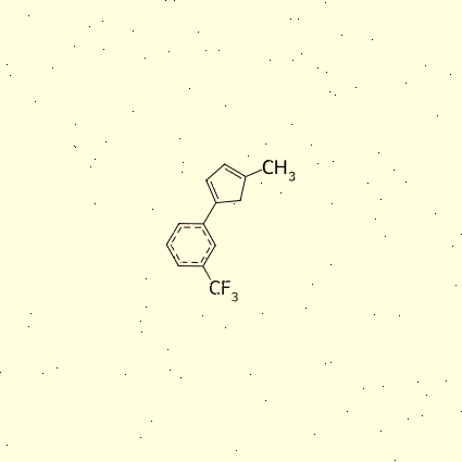 CC1=CC=C(c2cccc(C(F)(F)F)c2)C1